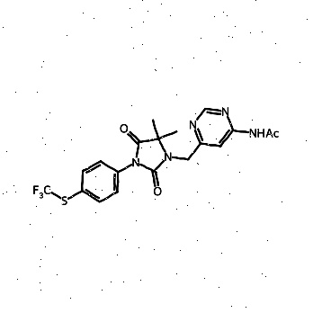 CC(=O)Nc1cc(CN2C(=O)N(c3ccc(SC(F)(F)F)cc3)C(=O)C2(C)C)ncn1